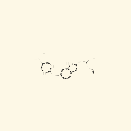 CNc1cnc(Oc2ccc3cc(CC(C)OC=O)[nH]c3c2)nc1